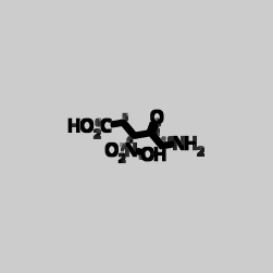 NCC(=O)CCC(=O)O.O=[N+]([O-])O